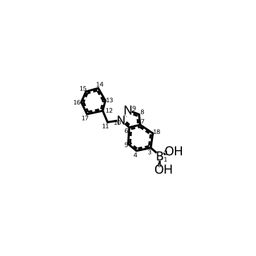 OB(O)c1ccc2c(cnn2Cc2ccccc2)c1